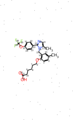 Cc1ccc(OCCCCCC(=O)O)c(Cn2c(C)cnc2-c2ccc(OC(F)(F)F)cc2)c1